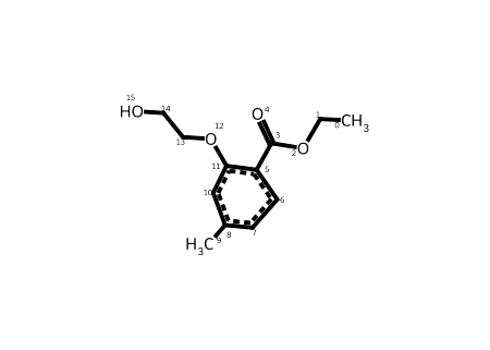 CCOC(=O)c1ccc(C)cc1OCCO